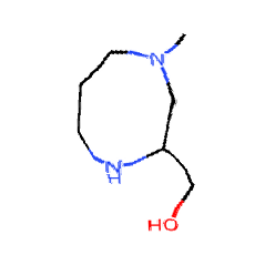 CN1CCCNC(CO)C1